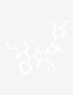 Br.CCOC(=O)C1=C(C)NC(C)(Nc2nc(-c3ccc(OC)c(OC)c3)c(C)s2)C(C(=O)OCC)C1c1ccccc1